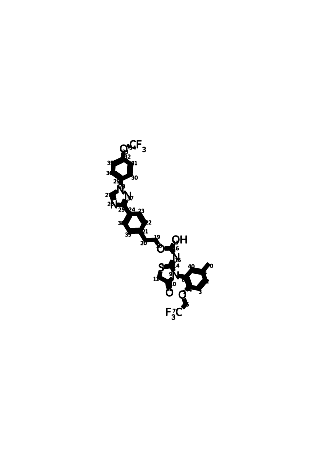 Cc1ccc(OCC(F)(F)F)c(N2C(=O)CS/C2=N\C(O)OCCc2ccc(-c3ncn(-c4ccc(OC(F)(F)F)cc4)n3)cc2)c1